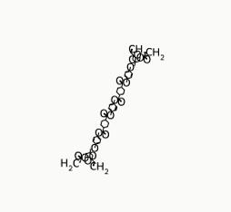 C=CC(=O)OCC(COc1ccc(OC(=O)C2CCC(C(=O)Oc3c#cc(OC(=O)C4CCC(C(=O)Oc5ccc(OCC(COC(=O)C=C)OC(=O)C=C)cc5)CC4)cc3)CC2)cc1)OC(=O)C=C